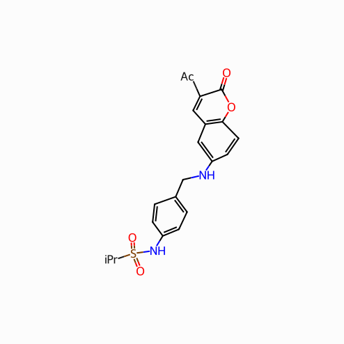 CC(=O)c1cc2cc(NCc3ccc(NS(=O)(=O)C(C)C)cc3)ccc2oc1=O